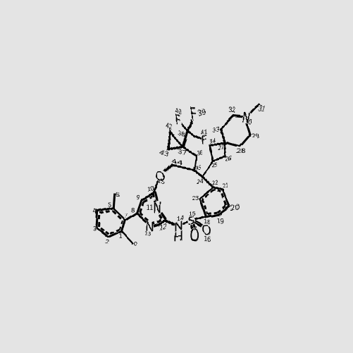 Cc1cccc(C)c1-c1cc2nc(n1)NS(=O)(=O)c1cccc(c1)C(C1CC3(CCN(C)CC3)C1)C(CC1(C(F)(F)F)CC1)CO2